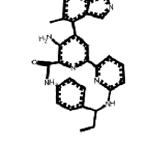 CCC(Nc1cccc(-c2cc(-c3c(C)ccc4[nH]ncc34)c(N)c(C(N)=O)n2)n1)c1ccccc1